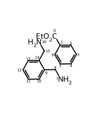 CCOC(=O)c1ccccc1.NCc1ccccc1CN